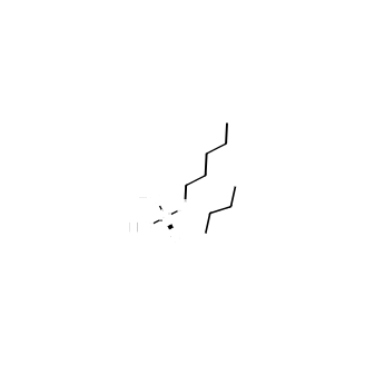 CCCC.CCCCCOP(=O)(O)O